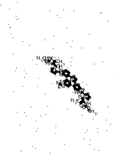 COC(=O)N[C@H](C(=O)N1CCC[C@H]1c1nc2cc([C@H]3CC[C@H](c4ccc5[nH]c([C@@H]6CCCN6C(=O)[C@@H](NC(=O)OC)C(C)C)nc5c4)N3c3ccc(OC(F)(F)F)cc3)ccc2[nH]1)C(C)C